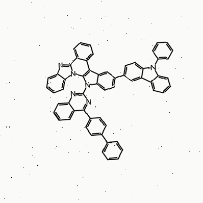 c1ccc(-c2ccc(-c3nc(-n4c5ccc(-c6ccc7c(c6)c6ccccc6n7-c6ccccc6)cc5c5c6ccccc6c6nc7ccccc7n6c54)nc4ccccc34)cc2)cc1